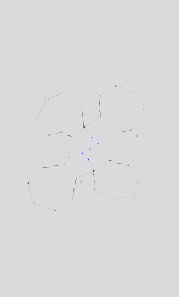 C1CCCC(C2(N=NC3(C4CCCCCC4)CCCCCC3)CCCCCC2)CC1